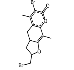 CC1=C2OC(CBr)CC2Cc2c1oc(=O)c(Br)c2C